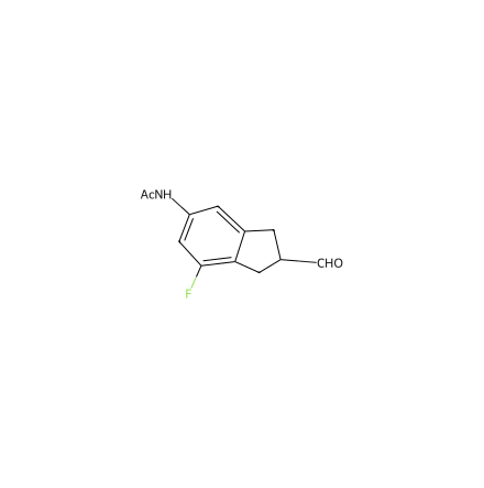 CC(=O)Nc1cc(F)c2c(c1)CC(C=O)C2